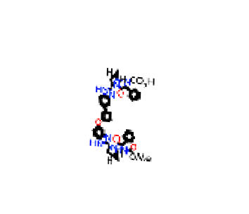 COC(=O)NC(C(=O)N1[C@@H]2C[C@H]2C[C@H]1c1nc2cc(Oc3cccc(-c4ccc5[nH]c([C@@H]6C[C@H]7C[C@H]7N6C(=O)C(NC(=O)O)c6ccccc6)nc5c4)c3)ccc2[nH]1)c1ccccc1